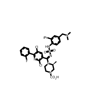 CC(C)c1cc(CN(C)C)ccc1NS(=O)(=O)N=C(c1cc(Cl)c(-c2ccccc2F)nc1Cl)N1CCN(C(=O)O)C[C@@H]1C